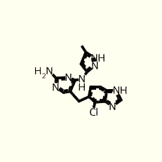 Cc1cc(Nc2nc(N)ncc2Cc2ccc3[nH]cnc3c2Cl)n[nH]1